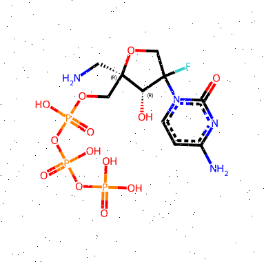 NC[C@]1(COP(=O)(O)OP(=O)(O)OP(=O)(O)O)OCC(F)(n2ccc(N)nc2=O)[C@@H]1O